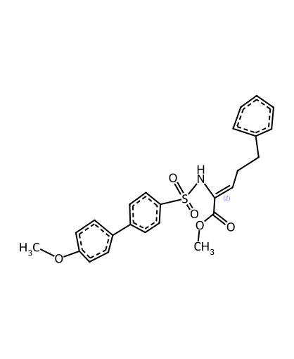 COC(=O)/C(=C/CCc1ccccc1)NS(=O)(=O)c1ccc(-c2ccc(OC)cc2)cc1